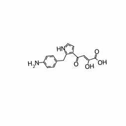 Nc1ccc(Cc2[nH]ccc2C(=O)C=C(O)C(=O)O)cc1